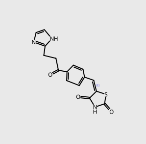 O=C1NC(=O)/C(=C\c2ccc(C(=O)CCc3ncc[nH]3)cc2)S1